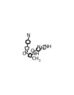 Cc1ccc(C(=O)N2CCC(c3ccc(C#N)cc3)CC2)cc1NC(=O)c1ccc(N2CCNCC2)nc1